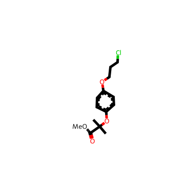 COC(=O)C(C)(C)Oc1ccc(OCCCCl)cc1